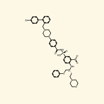 O=C(NP(=O)(O)c1ccc(N[C@H](CCN2CCOCC2)CSc2ccccc2)c([N+](=O)[O-])c1)c1ccc(N2CCN(Cc3ccccc3-c3ccc(Cl)cc3)CC2)cc1